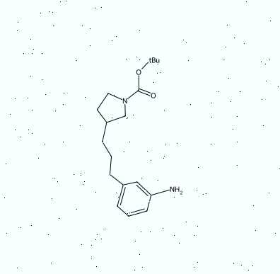 CC(C)(C)OC(=O)N1CCC(CCCc2cccc(N)c2)C1